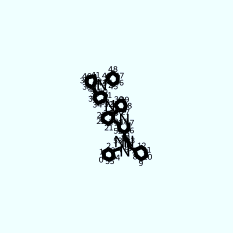 c1ccc(-c2nc(-c3ccccc3)nc(-c3ccnc(-c4cccc5c4c4ccccc4n5-c4ccc5c6ccccc6n(-c6ccccc6)c5c4)c3)n2)cc1